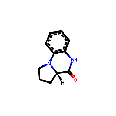 O=C1Nc2ccccc2N2CCC[C@@H]12